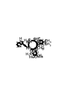 CO[C@]1(C)C[C@H](O[C@H]2[C@H](C)[C@@H](O[C@@H]3O[C@H](C)C[C@H](N(C)C)[C@H]3O)[C@](C)(O)C[C@@H](C)CN(C)C(=O)C[C@@H](CC#Cc3c[nH]c4cccnc34)NC(=O)[C@@H]2C)O[C@@H](C)[C@@H]1O